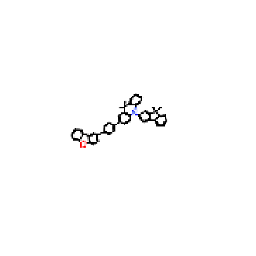 CC1(C)c2ccccc2-c2ccc(N3c4ccccc4C(C)(C)c4cc(-c5ccc(-c6ccc7oc8ccccc8c7c6)cc5)ccc43)cc21